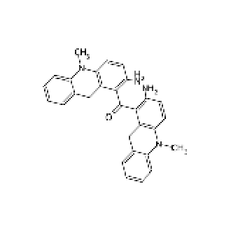 CN1c2ccccc2Cc2c1ccc(N)c2C(=O)c1c(N)ccc2c1Cc1ccccc1N2C